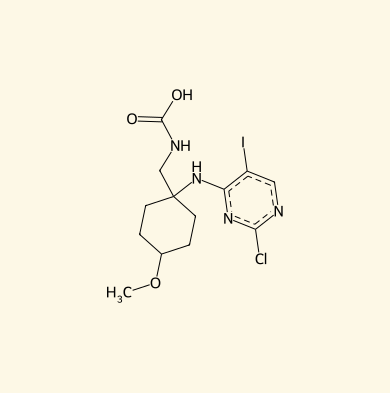 COC1CCC(CNC(=O)O)(Nc2nc(Cl)ncc2I)CC1